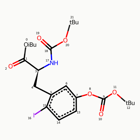 CC(C)COC(=O)[C@H](Cc1cc(OC(=O)OC(C)(C)C)ccc1I)NC(=O)OC(C)(C)C